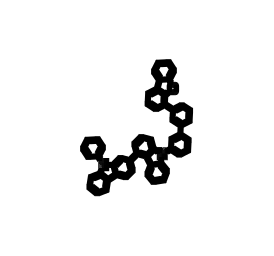 c1ccc(-n2c3ccccc3c3ccc(-c4cccc5c4c4ccccc4n5-c4cccc(-c5cccc(-c6cccc7c6oc6ccccc67)c5)c4)cc32)cc1